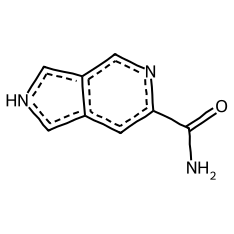 NC(=O)c1cc2c[nH]cc2cn1